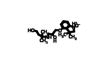 CC(C)(CCO)NCC(O)COc1cccc2c1C(C)(C)C[NH+]2[O-]